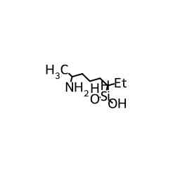 CCC(CCCC(C)N)[SiH](O)O